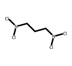 ClN(Cl)CCCN(Cl)Cl